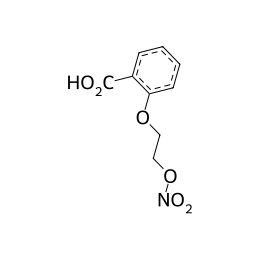 O=C(O)c1ccccc1OCCO[N+](=O)[O-]